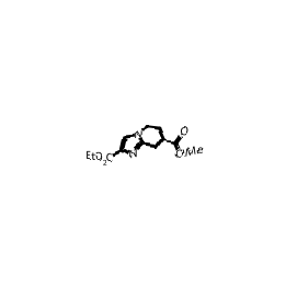 CCOC(=O)c1cn2c(n1)C[C@H](C(=O)OC)CC2